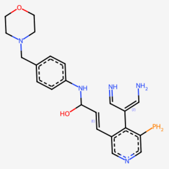 N=C/C(=C\N)c1c(P)cncc1/C=C/C(O)Nc1ccc(CN2CCOCC2)cc1